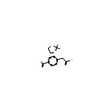 C[C@H]1COC(C)(C)O1.NC(=O)Cc1ccc(C(=O)O)cc1